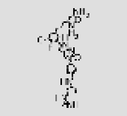 C=C[C@@H](CCNC(C)=N)NCc1ccc(-n2cc3cc(-c4cc(CCC[C@@H](N)CC(N)=O)cc(Cl)c4F)[nH]c3nc2=O)cc1